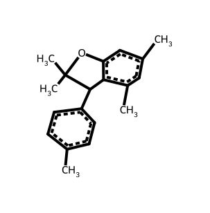 Cc1ccc(C2c3c(C)cc(C)cc3OC2(C)C)cc1